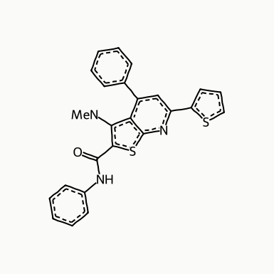 CNc1c(C(=O)Nc2ccccc2)sc2nc(-c3cccs3)cc(-c3ccccc3)c12